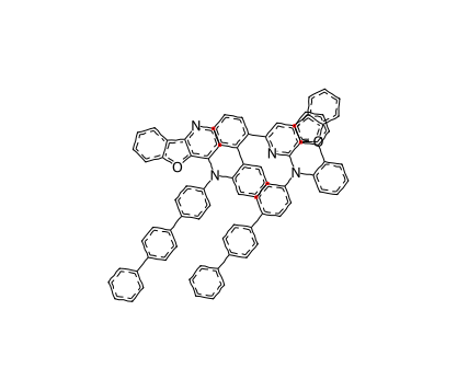 c1ccc(-c2ccc(-c3ccc(N(c4ccccc4-c4ccccc4)c4nc(-c5ccccc5-c5ccccc5N(c5ccc(-c6ccc(-c7ccccc7)cc6)cc5)c5ccnc6c5oc5ccccc56)cc5c4oc4ccccc45)cc3)cc2)cc1